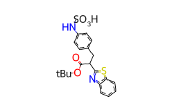 CC(C)(C)OC(=O)C(Cc1ccc(NS(=O)(=O)O)cc1)c1nc2ccccc2s1